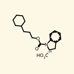 O=C(O)[C@H]1Cc2ccccc2N1C(=O)OCCCC1CCCCC1